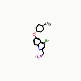 CC(C)(C)[C@H]1CC[C@H](Oc2ccc3nc(CP)cc(Br)c3c2)CC1